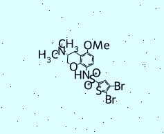 COc1ccc(NS(=O)(=O)c2cc(Br)c(Br)s2)c2c1C[C@@H](N(C)C)CO2